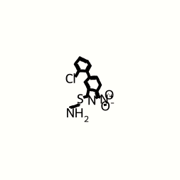 NCCSC1=NC([N+](=O)[O-])=C2CC=C(c3ccccc3Cl)C=C12